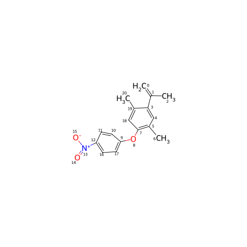 C=C(C)c1cc(C)c(Oc2ccc([N+](=O)[O-])cc2)cc1C